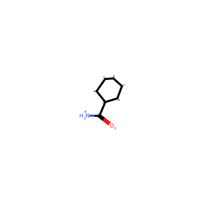 NC(=O)[C]1CCCCC1